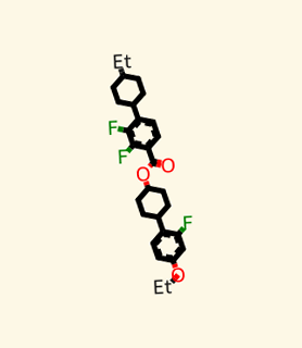 CCOc1ccc(C2CCC(OC(=O)c3ccc(C4CCC(CC)CC4)c(F)c3F)CC2)c(F)c1